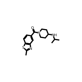 Cc1nc2cc(C(=O)N3CCC(NC(C)C)CC3)ccc2s1